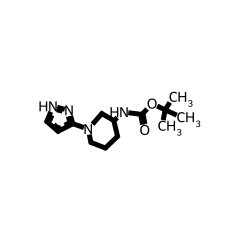 CC(C)(C)OC(=O)NC1CCCN(c2cc[nH]n2)C1